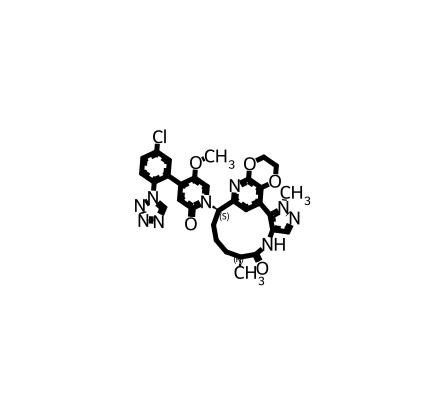 COc1cn([C@H]2CCC[C@@H](C)C(=O)Nc3cnn(C)c3-c3cc2nc2c3OCCO2)c(=O)cc1-c1cc(Cl)ccc1-n1cnnn1